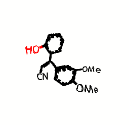 COc1ccc(/C(=C\C#N)c2ccccc2O)cc1OC